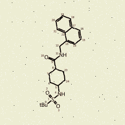 CC(C)(C)S(=O)(=O)NC1CCC(C(=O)NCc2cccc3ccccc23)CC1